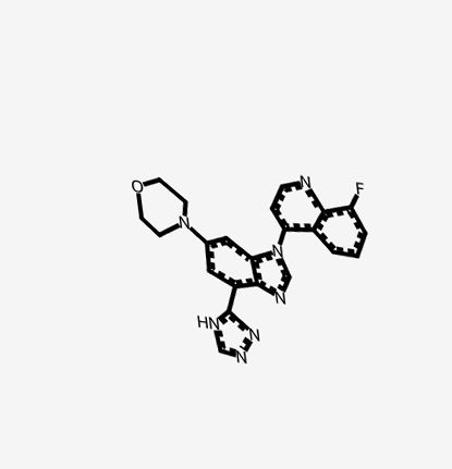 Fc1cccc2c(-n3cnc4c(-c5nnc[nH]5)cc(N5CCOCC5)cc43)ccnc12